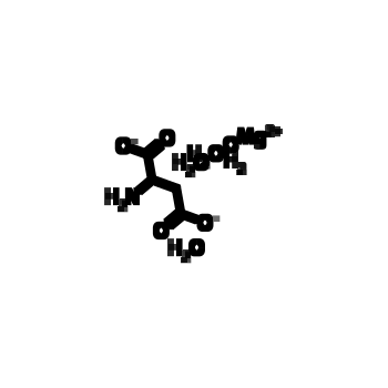 NC(CC(=O)[O-])C(=O)[O-].O.O.O.O.[Mg+2]